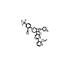 CCOc1ncccc1-c1ncc(C2(C(=O)NC3CCN(C)C3)CCN(c3ccc(C(F)(F)F)cc3C#N)CC2)cn1